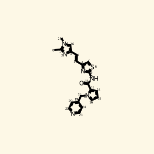 Cc1nc(/C=C/c2csc(NC(=O)c3cccn3Cc3ccncc3)n2)cn1C